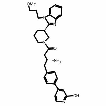 COCCCn1c([C@@H]2CCCN(C(=O)C[C@H](N)Cc3ccc(-c4ccnc(O)c4)cc3)C2)nc2ccccc21